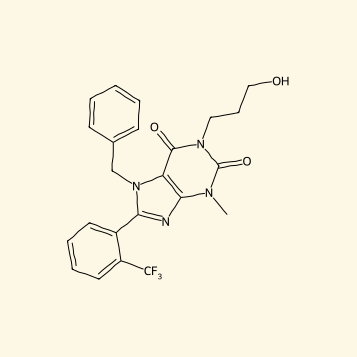 Cn1c(=O)n(CCCO)c(=O)c2c1nc(-c1ccccc1C(F)(F)F)n2Cc1ccccc1